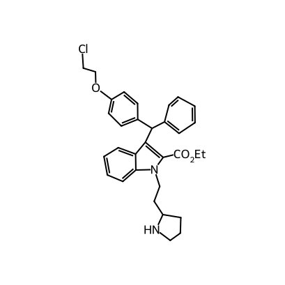 CCOC(=O)c1c(C(c2ccccc2)c2ccc(OCCCl)cc2)c2ccccc2n1CCC1CCCN1